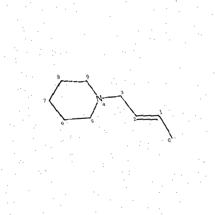 [CH2]C=CCN1CCCCC1